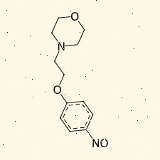 O=Nc1ccc(OCCN2CCOCC2)cc1